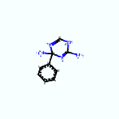 NC1=NC(N)(c2ccccc2)N=CN1